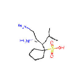 CC(C)C([C@H](N)CN)C1(S(=O)(=O)O)CCCC1